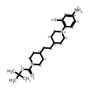 CC(C)(C)OC(=O)N1CCC(CCC2CCN(c3ccc(N)cc3F)CC2)CC1